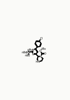 CCC[CH2][Sn]([CH2]CCC)([CH2]CCC)[c]1nc(-c2ccc(Cl)cc2)cc(C2CNCCN2C(=O)OC(C)(C)C)n1